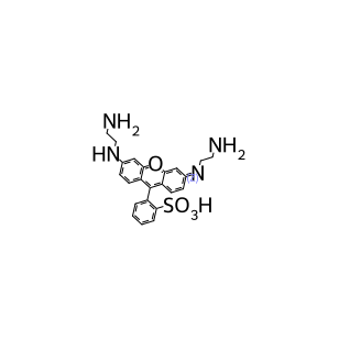 NCC/N=c1/ccc2c(-c3ccccc3S(=O)(=O)O)c3ccc(NCCN)cc3oc-2c1